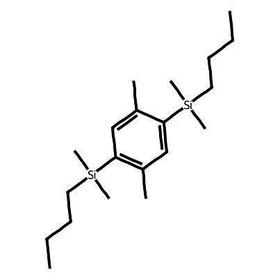 CCCC[Si](C)(C)c1cc(C)c([Si](C)(C)CCCC)cc1C